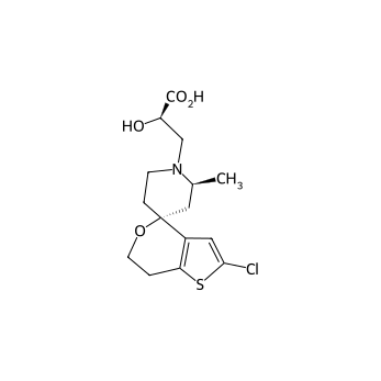 C[C@H]1C[C@@]2(CCN1C[C@@H](O)C(=O)O)OCCc1sc(Cl)cc12